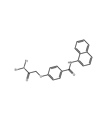 CCN(CC)C(=O)COc1ccc(C(=O)Nc2cccc3ccccc23)cc1